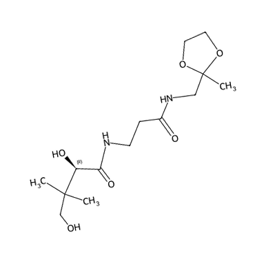 CC1(CNC(=O)CCNC(=O)[C@H](O)C(C)(C)CO)OCCO1